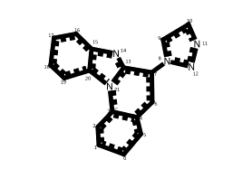 c1ccc2c(c1)cc(-n1ccnn1)c1nc3ccccc3n12